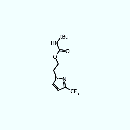 CC(C)(C)NC(=O)OCCn1ccc(C(F)(F)F)n1